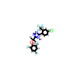 Cn1c(-c2ccc(Cl)cc2C(F)(F)F)nnc1C(C)(C)Oc1c(F)cc(F)cc1F